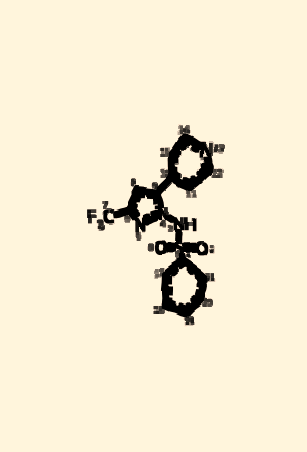 O=S(=O)(Nn1nc(C(F)(F)F)cc1-c1ccncc1)c1ccccc1